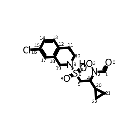 O=CN(O)C(CS(=O)(=O)N1CCc2ccc(Cl)cc2C1)C1CC1